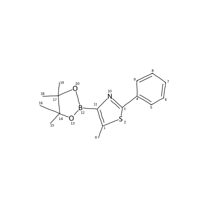 Cc1sc(-c2ccccc2)nc1B1OC(C)(C)C(C)(C)O1